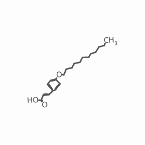 CCCCCCCCCCCCOc1ccc(/C=C/C(=O)O)cc1